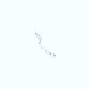 CC(C)Oc1cc2nn(C3CCN(CCC4(F)CN(c5ccc6c(c5)C(=O)N(C5CCC(=O)NC5=O)C6=O)C4)CC3)cc2cc1NC(=O)c1cnn2cccnc12